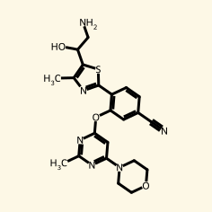 Cc1nc(Oc2cc(C#N)ccc2-c2nc(C)c(C(O)CN)s2)cc(N2CCOCC2)n1